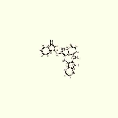 Cc1[nH]c2ccccc2c1CC1=C(Cc2c[nH]c3ccccc23)NC2C=CC=CC12